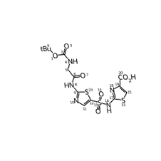 CC(C)(C)OC(=O)NCC(=O)Nc1ncc(S(=O)(=O)Nc2nc(C(=O)O)cs2)s1